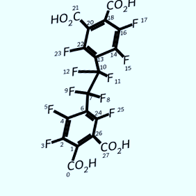 O=C(O)c1c(F)c(F)c(C(F)(F)C(F)(F)c2c(F)c(F)c(C(=O)O)c(C(=O)O)c2F)c(F)c1C(=O)O